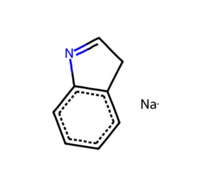 C1=Nc2ccccc2C1.[Na]